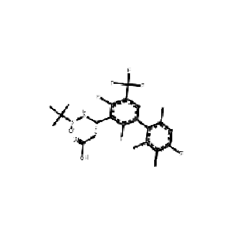 Cc1cc(F)c(C)c(C)c1-c1cc(C(F)(F)F)c(F)c([C@H](CC(=O)O)N[S@+]([O-])C(C)(C)C)c1F